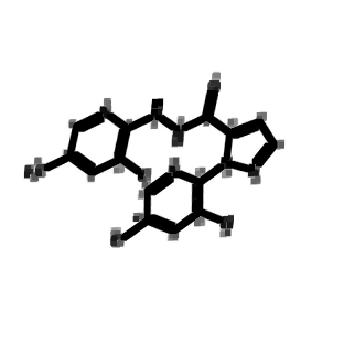 O=C(NNc1ncc(C(F)(F)F)cc1Cl)c1ccnn1-c1ncc(Cl)cc1Cl